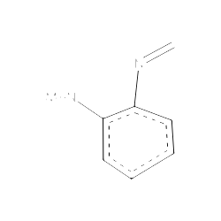 C=Nc1ccccc1NC